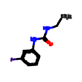 CCOC(=O)CNC(=O)Nc1cccc(I)c1